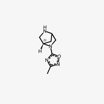 Cc1noc(N2CC3C[C@H]2CN3)n1